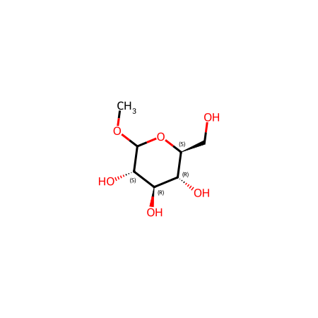 COC1O[C@@H](CO)[C@H](O)[C@@H](O)[C@@H]1O